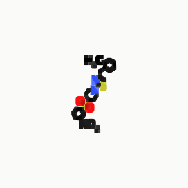 Cc1ccccc1Cc1csc(N2CCC(S(=O)(=O)c3cccc([N+](=O)[O-])c3)CC2)n1